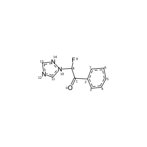 O=C(c1ccccc1)C(F)n1cncn1